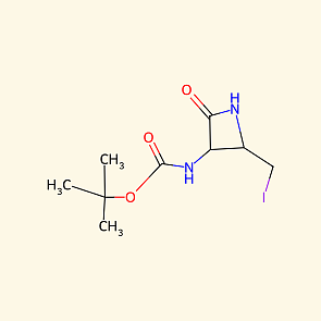 CC(C)(C)OC(=O)NC1C(=O)NC1CI